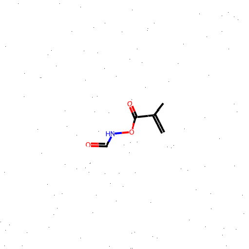 C=C(C)C(=O)ONC=O